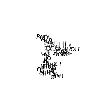 O=C(O)CC[C@@H](NC(=O)N[C@H](CCCCN(Cc1ccc(Br)nc1)C(=O)c1ccc(CNC(=O)CN(CCNCC(=O)O)CCN(CCNCC(=O)O)CC(=O)O)cc1)C(=O)O)C(=O)O